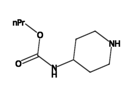 CCCOC(=O)NC1CCNCC1